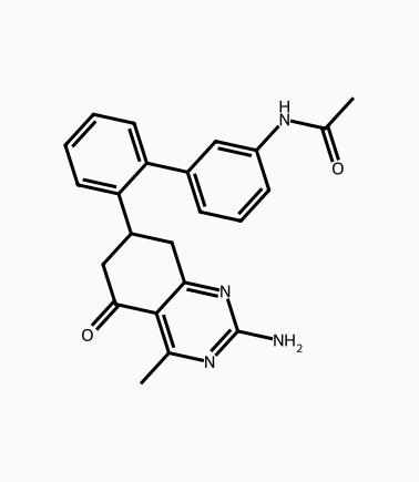 CC(=O)Nc1cccc(-c2ccccc2C2CC(=O)c3c(C)nc(N)nc3C2)c1